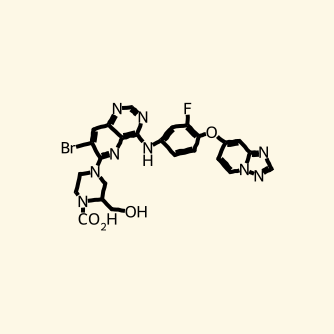 O=C(O)N1CCN(c2nc3c(Nc4ccc(Oc5ccn6ncnc6c5)c(F)c4)ncnc3cc2Br)CC1CO